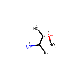 CCC(N)CC#N.O=[N+]([O-])O